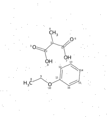 CC(C(=O)O)C(=O)O.CCOc1ccccc1